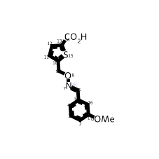 COc1cccc(/C=N/OCc2ccc(C(=O)O)s2)c1